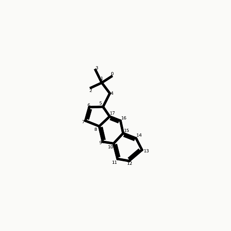 CC(C)(C)C[C]1C=Cc2cc3ccccc3cc21